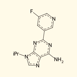 CC(C)n1cnc2c(N)nc(-c3cncc(F)c3)nc21